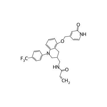 C=CC(=O)NCC1Cc2c(OCc3cc[nH]c(=O)c3)cccc2N(c2ccc(C(F)(F)F)cc2)C1